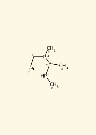 CPP(C)P(C)CC(C)C